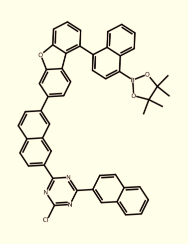 CC1(C)OB(c2ccc(-c3cccc4oc5cc(-c6ccc7ccc(-c8nc(Cl)nc(-c9ccc%10ccccc%10c9)n8)cc7c6)ccc5c34)c3ccccc23)OC1(C)C